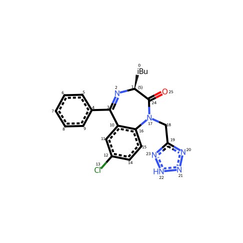 CCC(C)[C@@H]1N=C(c2ccccc2)c2cc(Cl)ccc2N(Cc2nn[nH]n2)C1=O